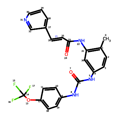 Cc1ccc(NC(=O)Nc2ccc(OC(F)(F)F)cc2)cc1NC(=O)/C=C/c1cccnc1